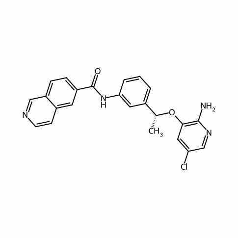 C[C@@H](Oc1cc(Cl)cnc1N)c1cccc(NC(=O)c2ccc3cnccc3c2)c1